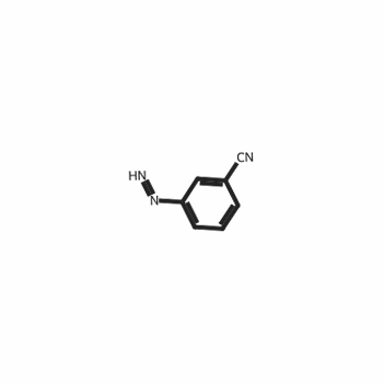 N#Cc1cccc(N=N)c1